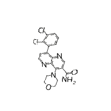 NC(=O)c1cnc2c(-c3cccc(Cl)c3Cl)ccnc2c1N1CCOCC1